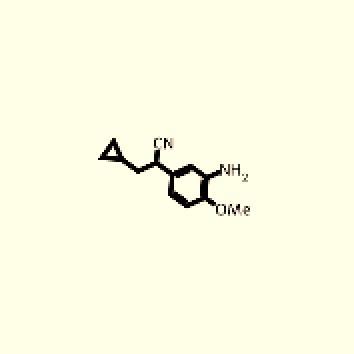 COc1ccc(C(C#N)CC2CC2)cc1N